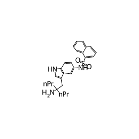 CCCC(N)(CCC)Cc1c[nH]c2ccc(NS(=O)(=O)c3cccc4ccccc34)cc12